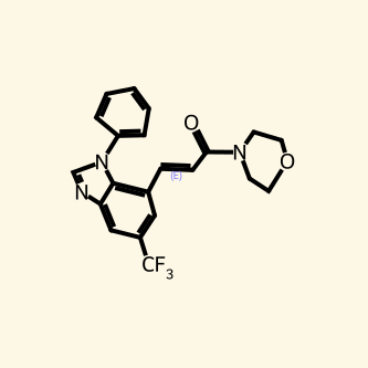 O=C(/C=C/c1cc(C(F)(F)F)cc2ncn(-c3ccccc3)c12)N1CCOCC1